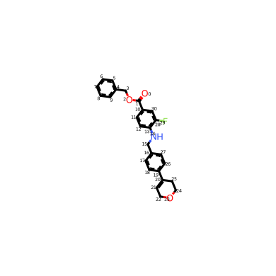 O=C(OCc1ccccc1)c1ccc(NCc2ccc(C3=CCOCC3)cc2)c(F)c1